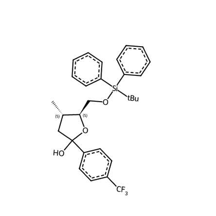 C[C@H]1CC(O)(c2ccc(C(F)(F)F)cc2)O[C@@H]1CO[Si](c1ccccc1)(c1ccccc1)C(C)(C)C